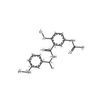 CCOc1ccc(NC(=O)C(C)C)cc1C(=O)NC(C)c1cccc(NC(C)C)c1